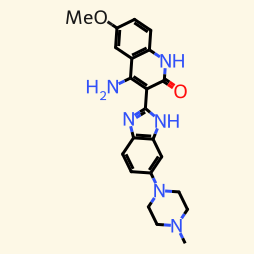 COc1ccc2[nH]c(=O)c(-c3nc4ccc(N5CCN(C)CC5)cc4[nH]3)c(N)c2c1